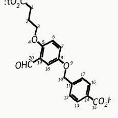 CCOC(=O)CCCOc1ccc(OCc2ccc(C(=O)O)cc2)cc1C=O